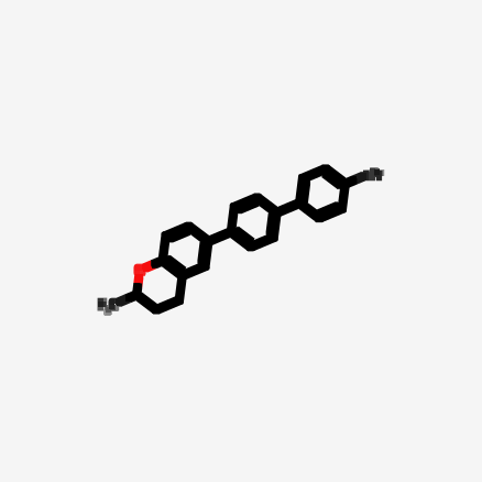 CCCc1ccc(-c2ccc(-c3ccc4c(c3)CCC(C(F)(F)F)O4)cc2)cc1